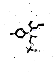 C=C/C=C(\C=C)N(c1ccc(C)cc1)C(C)CO[Si](C)(C)C(C)(C)C